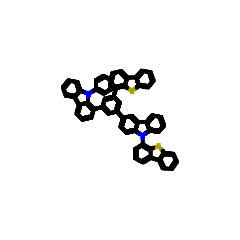 c1ccc(-n2c3ccccc3c3cccc(-c4cc(-c5ccc6c(c5)c5ccccc5n6-c5cccc6c5sc5ccccc56)cc(-c5cccc6c5sc5ccccc56)c4)c32)cc1